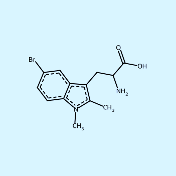 Cc1c(CC(N)C(=O)O)c2cc(Br)ccc2n1C